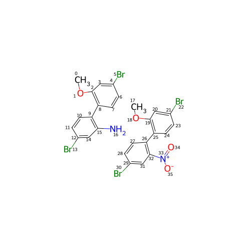 COc1cc(Br)ccc1-c1ccc(Br)cc1N.COc1cc(Br)ccc1-c1ccc(Br)cc1[N+](=O)[O-]